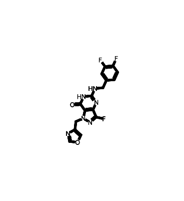 O=c1[nH]c(NCc2ccc(F)c(F)c2)nc2c(F)nn(Cc3cocn3)c12